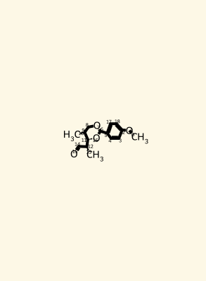 COc1ccc(C2OC[C@H](C)[C@@H]([C@@H](C)C=O)O2)cc1